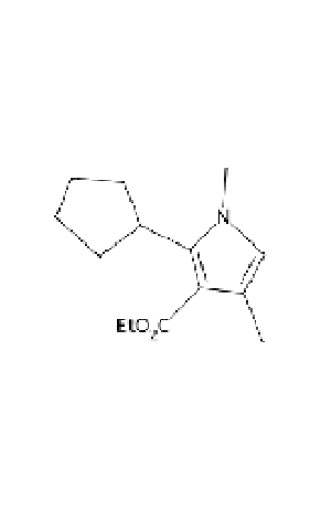 CCOC(=O)c1c(C)cn(C)c1C1CCCC1